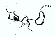 Cc1ccc(-c2nc(-c3[c]ccc(C=O)c3)c(C)o2)o1